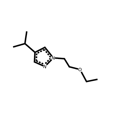 CCOCCn1cc(C(C)C)cn1